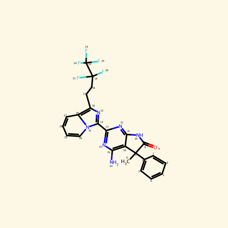 CC1(c2ccccc2)C(=O)Nc2nc(-c3nc(CCC(F)(F)C(F)(F)F)c4ccccn34)nc(N)c21